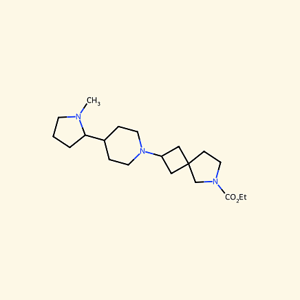 CCOC(=O)N1CCC2(CC(N3CCC(C4CCCN4C)CC3)C2)C1